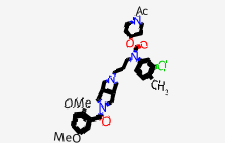 COc1ccc(OC)c(C(=O)N2CC3CN(CCCN(C(=O)OC4CCN(C(C)=O)CC4)c4ccc(C)c(Cl)c4)CC3C2)c1